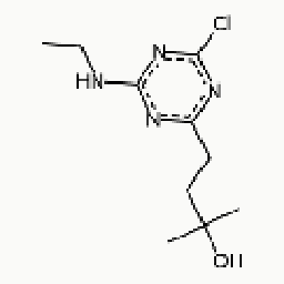 CCNc1nc(Cl)nc(CCC(C)(C)O)n1